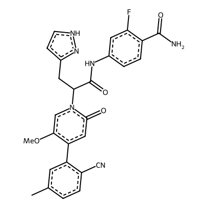 COc1cn(C(Cc2cc[nH]n2)C(=O)Nc2ccc(C(N)=O)c(F)c2)c(=O)cc1-c1cc(C)ccc1C#N